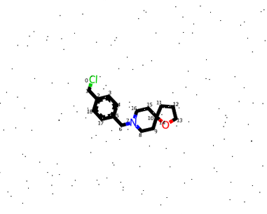 ClCc1ccc(CN2CCC3(CCCO3)CC2)cc1